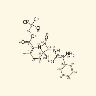 CC1=C(C(=O)OCC(Cl)(Cl)Cl)N2C(=O)[C@H](NC(=O)C(N)c3ccccc3)[C@@H]2SC1